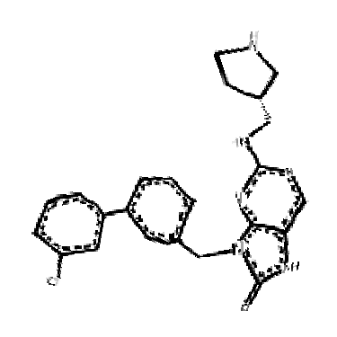 O=c1[nH]c2cnc(NC[C@@H]3CCNC3)nc2n1Cc1cccc(-c2cccc(Cl)c2)c1